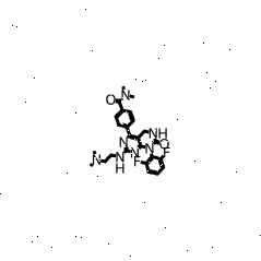 CN(C)CCNc1nc(-c2ccc(C(=O)N(C)C)cc2)c2c(n1)N(c1c(F)cccc1F)C(=O)NC2